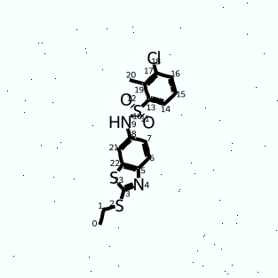 CCSc1nc2ccc(NS(=O)(=O)c3cccc(Cl)c3C)cc2s1